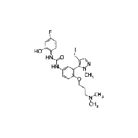 CN(C)CCCOc1ccc(NC(=O)Nc2ccc(F)cc2O)cc1-c1c(CI)cnn1C